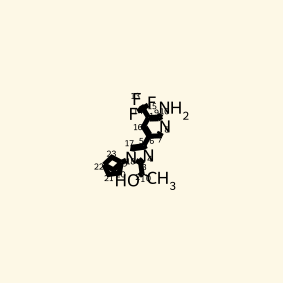 C[C@H](O)c1nc(-c2cnc(N)c(C(F)(F)F)c2)cn1C12CCC(C1)C2